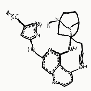 Cc1cc(Nc2cc3nccc(O)c3c(NC3CC4CC[C@@H](C3)N4CCC#N)n2)n[nH]1